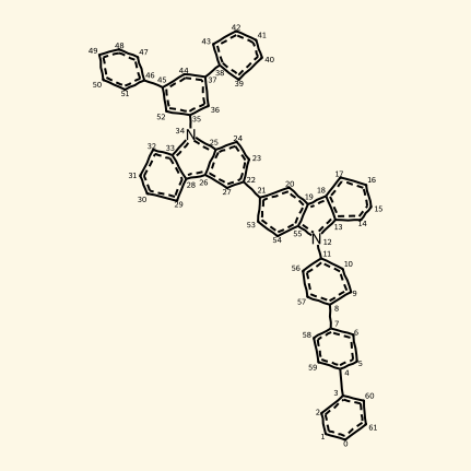 c1ccc(-c2ccc(-c3ccc(-n4c5ccccc5c5cc(-c6ccc7c(c6)c6ccccc6n7-c6cc(-c7ccccc7)cc(-c7ccccc7)c6)ccc54)cc3)cc2)cc1